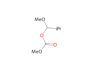 COC(=O)OC(OC)C(C)C